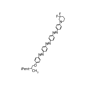 CCCC(C)C(C)COc1ccc(/N=N/c2ccc(/N=N/c3ccc(/N=N/c4ccc(N5CCCC(F)(F)C5)cc4)cc3)cc2)cc1